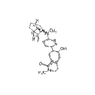 CN(c1ccc(-c2cc3c(=O)n(C)ccc3cc2O)nn1)[C@@H]1C[C@H]2CC[C@@H]([C@@H]1F)N2C